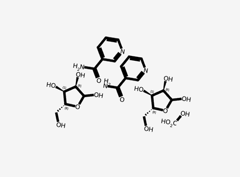 NC(=O)c1cccnc1.NC(=O)c1cccnc1.O=C(O)O.OC[C@H]1OC(O)[C@H](O)[C@@H]1O.OC[C@H]1OC(O)[C@H](O)[C@@H]1O